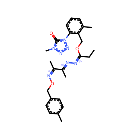 CC/C(=N/N=C(C)/C(C)=N\OCc1ccc(C)cc1)OCc1c(C)cccc1-n1nnn(C)c1=O